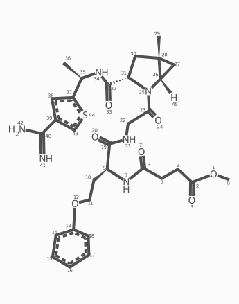 COC(=O)CCC(=O)N[C@@H](CCOc1ccccc1)C(=O)NCC(=O)N1[C@H]2C[C@@]2(C)C[C@H]1C(=O)N[C@H](C)c1cc(C(=N)N)cs1